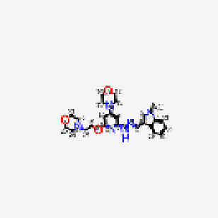 CC(=O)n1cc(/C=N/Nc2cc(N3CCOCC3)cc(OCCN3CCOCC3)n2)c2ccccc21